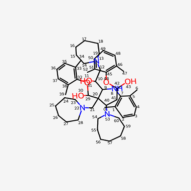 Cc1cccc(C)c1NC(C(O)CN1CCCCCC1)C(CN1CCCCCC1)(C(O)Oc1c(C)cccc1C)C(CC(O)Oc1c(C)cccc1C)N1CCCCCCC1